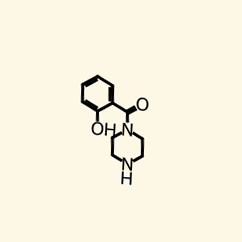 O=C(c1ccccc1O)N1CCNCC1